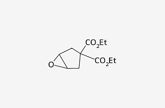 CCOC(=O)C1(C(=O)OCC)CC2OC2C1